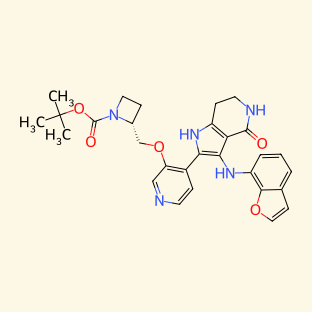 CC(C)(C)OC(=O)N1CC[C@@H]1COc1cnccc1-c1[nH]c2c(c1Nc1cccc3ccoc13)C(=O)NCC2